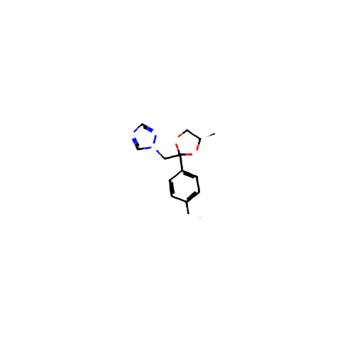 COc1ccc(C2(Cn3cncn3)OC[C@@H](C)O2)cc1